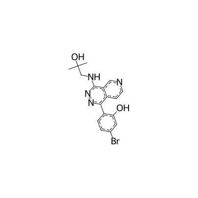 CC(C)(O)CNc1nnc(-c2ccc(Br)cc2O)c2ccncc12